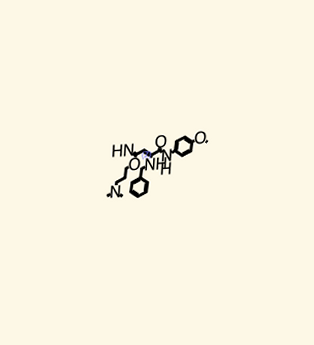 COc1ccc(NC(=O)/C(=C/C(=N)OCCCN(C)C)NCc2ccccc2)cc1